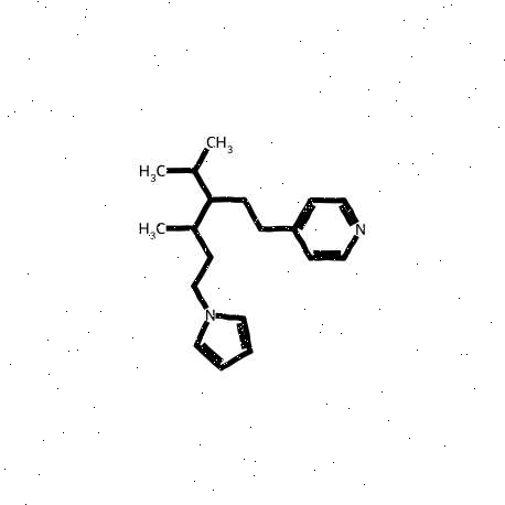 CC(C)[C](CCc1ccncc1)C(C)CCn1cccc1